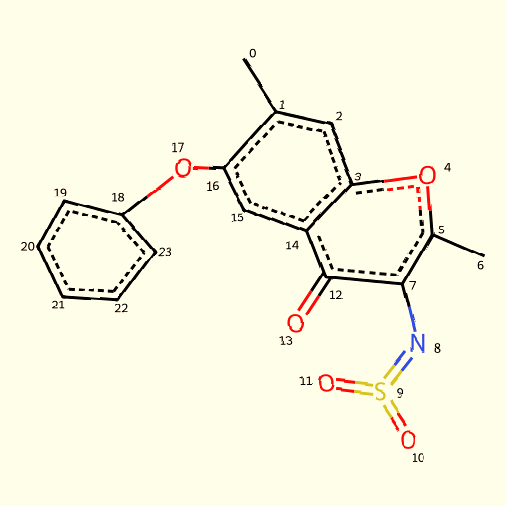 Cc1cc2oc(C)c(N=S(=O)=O)c(=O)c2cc1Oc1ccccc1